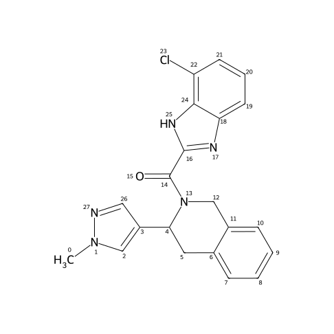 Cn1cc(C2Cc3ccccc3CN2C(=O)c2nc3cccc(Cl)c3[nH]2)cn1